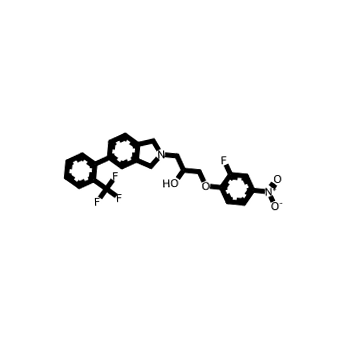 O=[N+]([O-])c1ccc(OCC(O)CN2Cc3ccc(-c4ccccc4C(F)(F)F)cc3C2)c(F)c1